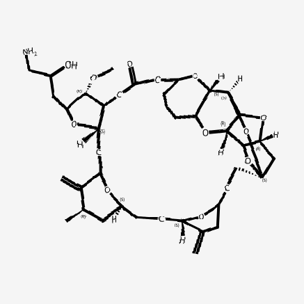 C=C1C2C[C@@H]3OC(CC(O)CN)[C@H](OC)C3CC(=O)CC3CCC4O[C@@H]5C6O[C@@H]7C[C@@](CCC8CC(=C)[C@H](CC[C@@H](C[C@H]1C)O2)O8)(OC57)O[C@H]6[C@H]4O3